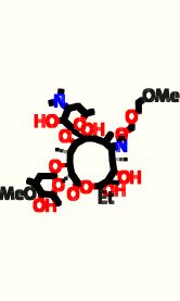 CC[C@H]1OC(=O)[C@H](C)[C@@H](OC2CC(C)(OC)C(O)C(C)O2)[C@H](C)[C@@H](OC2OC(C)CC(N(C)C)C2O)[C@](C)(O)CC(C)/C(=N\OCOCCOC)[C@H](C)[C@@H](O)[C@]1(C)O